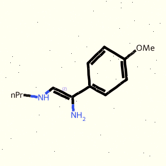 CCCN/C=C(\N)c1ccc(OC)cc1